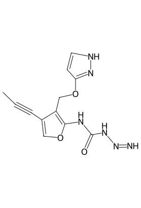 CC#Cc1coc(NC(=O)NN=N)c1COc1cc[nH]n1